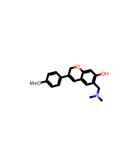 COc1ccc(C2=Cc3cc(CN(C)C)c(O)cc3OC2)cc1